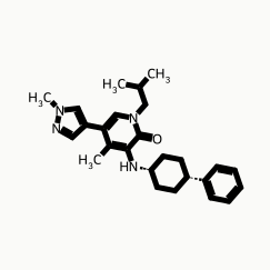 Cc1c(-c2cnn(C)c2)cn(CC(C)C)c(=O)c1N[C@H]1CC[C@@H](c2ccccc2)CC1